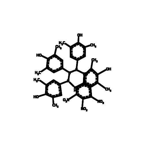 Cc1cc(NN(c2cc(C)c(O)c(C)c2)N(c2cc(C)c(O)c(C)c2)N(Nc2cc([N+](=O)[O-])c([N+](=O)[O-])c([N+](=O)[O-])c2)c2cc(C)c(O)c(C)c2)cc(C)c1O